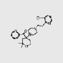 CC1(C)CC(C(=O)c2ccccn2)(N2CCN(CCc3ncccc3Cl)CC2)CCO1